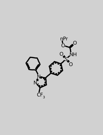 CCCOC(=O)NS(=O)(=O)c1ccc(-c2cc(C(F)(F)F)nn2C2=CCCC=C2)cc1